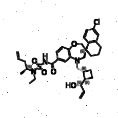 C=CC[C@H](C)N(CC)S(=O)(=O)NC(=O)c1ccc2c(c1)N(C[C@@H]1CC[C@H]1[C@@H](O)C=C)C[C@@]1(CCCc3cc(Cl)ccc31)CO2